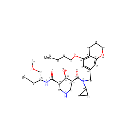 CCOC[C@@H](CC(C)C)NC(=O)[C@@H]1CNC[C@H](C(=O)N(Cc2cc(OCCCOC)c3c(c2)OCCC3)C2CC2)[C@@H]1O